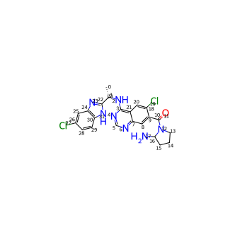 C[C@H](Nc1ncnc2cc(C(=O)N3CCCC3N)c(Cl)cc12)c1nc2cc(Cl)ccc2[nH]1